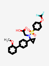 COc1ccccc1-c1ccc(C2(N(CC(=O)O)S(=O)(=O)c3ccc(OC(F)F)cc3)CC2)cc1